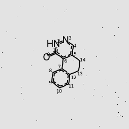 O=c1[nH]ncc2c1-c1ccccc1CC2